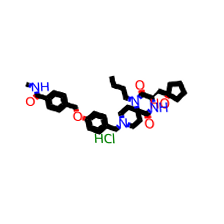 CCCCN1C(=O)[C@@H](CC2(O)CCCC2)NC(=O)C12CCN(Cc1ccc(OCc3ccc(C(=O)NC)cc3)cc1)CC2.Cl